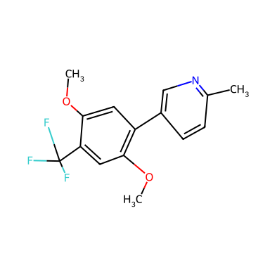 COc1cc(C(F)(F)F)c(OC)cc1-c1ccc(C)nc1